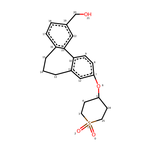 O=S1(=O)CCC(Oc2ccc3c(c2)CCCc2ccc(CO)cc2-3)CC1